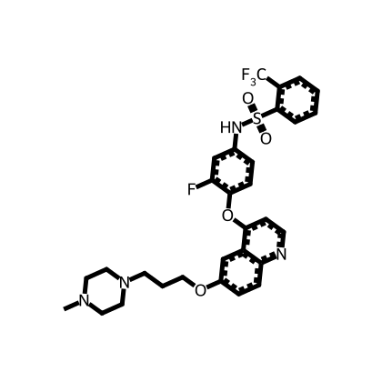 CN1CCN(CCCOc2ccc3nccc(Oc4ccc(NS(=O)(=O)c5ccccc5C(F)(F)F)cc4F)c3c2)CC1